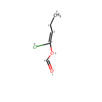 CC/C=C(\Cl)O[C]=O